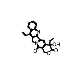 C=Cc1c2c(nc3ccccc13)-c1cc3c(c(=O)n1C2)COC(=O)C3(O)CC